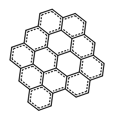 c1cc2cc3ccc4cc5ccc6ccc7cc8ccc9ccc%10c(c1)c2c1c3c4c2c5c6c7c3c8c9c%10c1c32